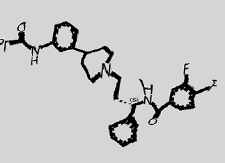 CC(C)C(=O)Nc1cccc(C2CCN(CC[C@H](NC(=O)c3ccc(F)c(F)c3)c3ccccc3)CC2)c1